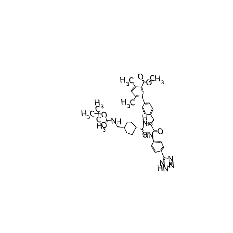 COC(=O)c1cc(-c2ccc(C[C@H](NC(=O)[C@H]3CC[C@H](CNC(=O)OC(C)(C)C)CC3)C(=O)Nc3ccc(-c4nn[nH]n4)cc3)cc2)c(C)cc1C